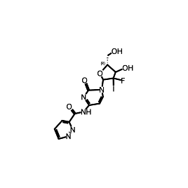 O=C(Nc1ccn(C2O[C@H](CO)C(O)C2(F)I)c(=O)n1)c1cccnn1